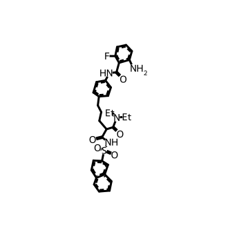 CCN(CC)C(=O)C(CCCc1ccc(NC(=O)c2c(N)cccc2F)cc1)C(=O)NS(=O)(=O)c1ccc2ccccc2c1